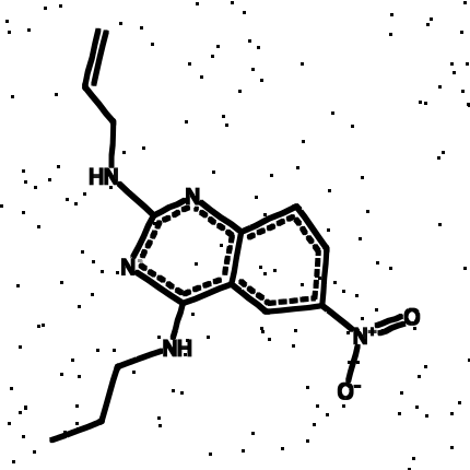 C=CCNc1nc(NCCC)c2cc([N+](=O)[O-])ccc2n1